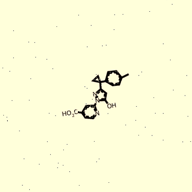 Cc1ccc(C2(c3cc(O)n(-c4cc(C(=O)O)ccn4)n3)CC2)cc1